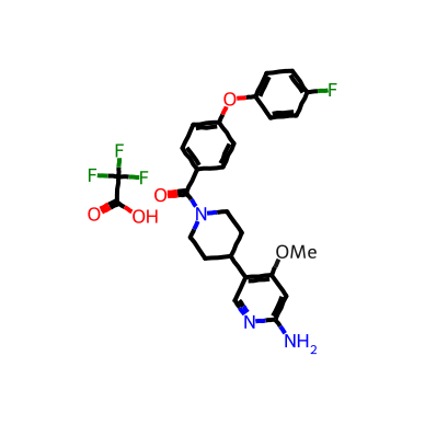 COc1cc(N)ncc1C1CCN(C(=O)c2ccc(Oc3ccc(F)cc3)cc2)CC1.O=C(O)C(F)(F)F